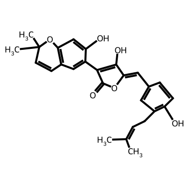 CC(C)=CCc1cc(/C=C2\OC(=O)C(c3cc4c(cc3O)OC(C)(C)C=C4)=C2O)ccc1O